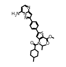 COC(=O)c1sc(-c2ccc(-c3cc4nccc(N)n4n3)cc2)cc1N(C(=O)C1CCC(C)CC1)C(C)C